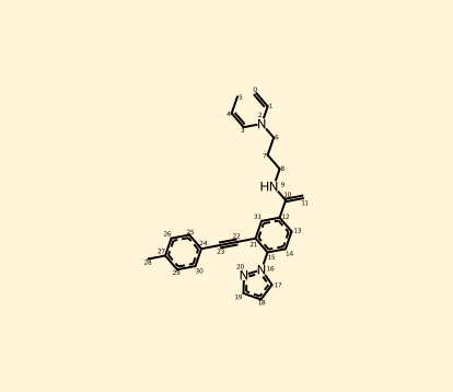 C=CN(/C=C\C)CCCNC(=C)c1ccc(-n2cccn2)c(C#Cc2ccc(C)cc2)c1